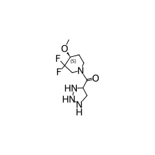 CO[C@H]1CCN(C(=O)C2CNNN2)CC1(F)F